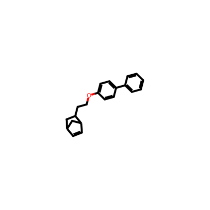 C1=CC2CC1CC2CCOc1ccc(-c2ccccc2)cc1